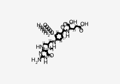 CN1c2c(nc(N)[nH]c2=O)NCC1CNc1ccc(C(=O)NC(CCC(=O)O)C(=O)O)cc1.O.O.O.O.O